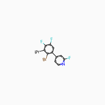 CC(C)c1c(F)c(F)cc(-c2ccnc(F)c2)c1Br